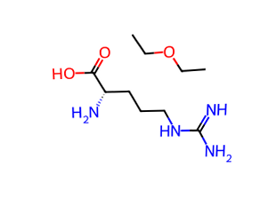 CCOCC.N=C(N)NCCC[C@H](N)C(=O)O